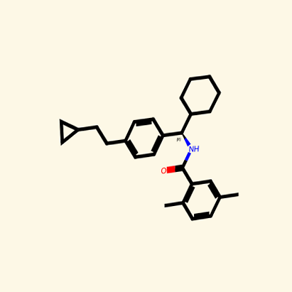 Cc1ccc(C)c(C(=O)N[C@@H](c2ccc(CCC3CC3)cc2)C2CCCCC2)c1